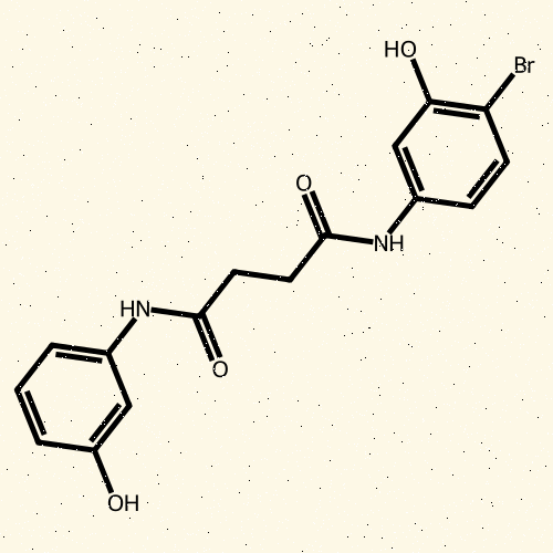 O=C(CCC(=O)Nc1ccc(Br)c(O)c1)Nc1cccc(O)c1